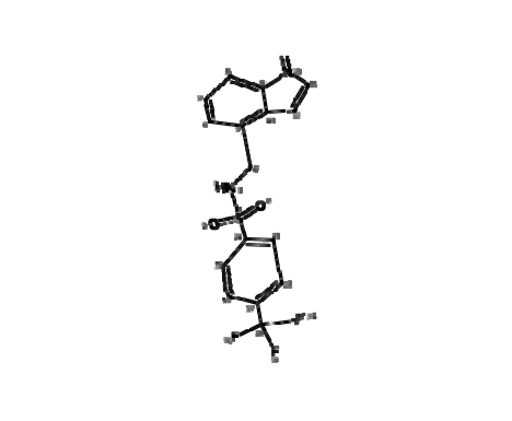 O=S(=O)(NCc1cccc2[nH]ccc12)c1ccc(C(F)(F)F)cc1